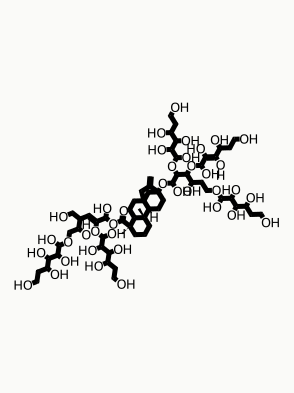 C=C1CC23CCC4[C@](C)(C(=O)OC(O)/C(=C/C(CO)C(O)COC(O)C(O)C(O)C(O)CCO)OC(O)C(O)C(O)C(O)CCO)CCC[C@@]4(C)[C@@H]2CCC1(OC(O)C(OC(O)C(O)C(O)C(O)CCO)C(OC(O)/C(O)=C(\O)C(O)CCO)C(O)CCOC(O)C(O)C(O)C(O)CCO)C3